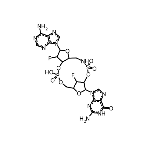 Nc1nc2c(ncn2C2OC3COP(=O)(O)OC4C(CNS(=O)(=O)OC2C3F)OC(n2cnc3c(N)ncnc32)C4F)c(=O)[nH]1